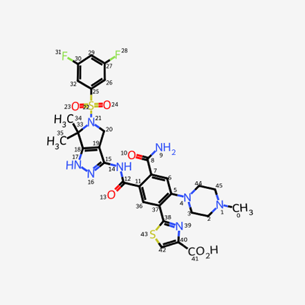 CN1CCN(c2cc(C(N)=O)c(C(=O)Nc3n[nH]c4c3CN(S(=O)(=O)c3cc(F)cc(F)c3)C4(C)C)cc2-c2nc(C(=O)O)cs2)CC1